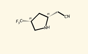 N#CC[C@H]1C[C@@H](C(F)(F)F)CN1